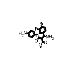 COC(=O)c1c(N)c2ccc(Br)c(F)c2n(-c2ccc(N)cc2)c1=O